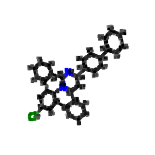 Clc1cccc(-c2ccccc2-c2cc(-c3ccc(-c4ccccc4)cc3)nc(-c3ccccc3)n2)c1